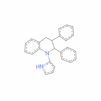 c1ccc(C2Cc3ccccc3N(c3ccc[nH]3)C2c2ccccc2)cc1